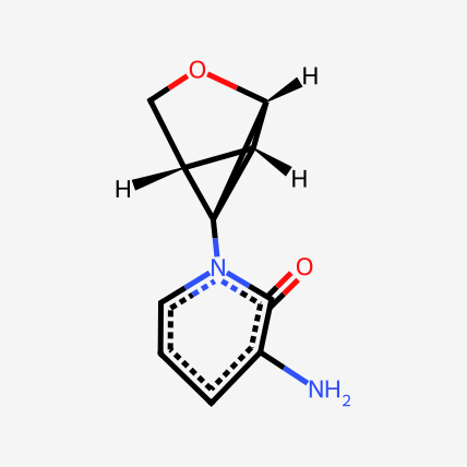 Nc1cccn(C23[C@@H]4[C@H]2CO[C@H]43)c1=O